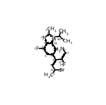 Cc1nc2c(F)cc(C(=C/C(C)Br)/C(F)=C\N)cc2n1C(C)C